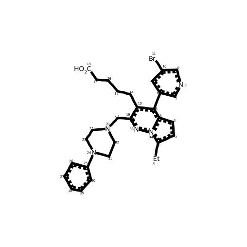 CCc1ccc2c(-c3cncc(Br)c3)c(CCCCC(=O)O)c(CN3CCN(c4ccccc4)CC3)nn12